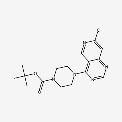 CC(C)(C)OC(=O)N1CCN(c2ncnc3cc(Cl)ncc23)CC1